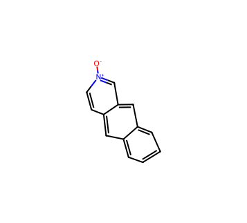 [O-][n+]1ccc2cc3ccccc3cc2c1